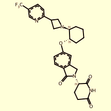 O=C1CC[C@H](N2Cc3cc(O[C@H]4CCCC[C@@H]4N4CC(c5ccc(C(F)(F)F)cn5)C4)ccc3C2=O)C(=O)N1